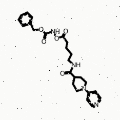 O=C(CCCCNC(=O)C1CCN(c2ccncc2)CC1)ONC(=O)OCc1ccccc1